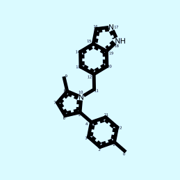 Cc1ccc(-c2ccc(C)n2Cc2ccc3cn[nH]c3c2)cc1